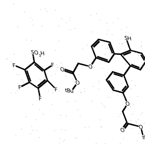 CC(C)(C)OC(=O)COc1cccc(-c2cccc(S)c2-c2cccc(OCC(=O)OC(C)(C)C)c2)c1.O=S(=O)(O)c1c(F)c(F)c(F)c(F)c1F